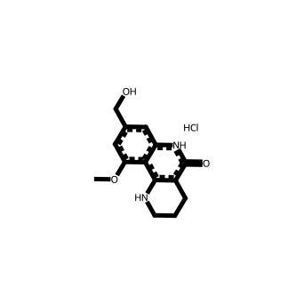 COc1cc(CO)cc2[nH]c(=O)c3c(c12)NCCC3.Cl